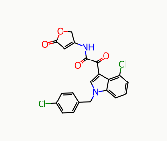 O=C1C=C(NC(=O)C(=O)c2cn(Cc3ccc(Cl)cc3)c3cccc(Cl)c23)CO1